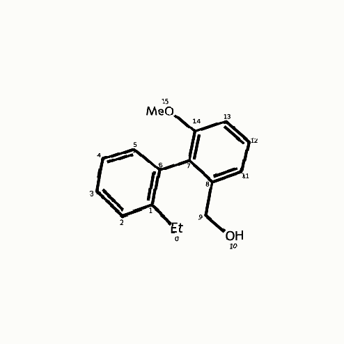 CCc1ccc[c]c1-c1c(CO)cccc1OC